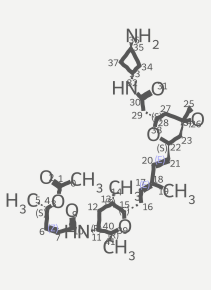 CC(=O)O[C@@H](C)/C=C\C(=O)N[C@@H]1C[C@H](C)[C@H](C/C=C(C)/C=C/[C@@H]2C[C@]3(CO3)C[C@@H](CC(=O)N[C@H]3C[C@H](N)C3)O2)O[C@@H]1C